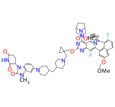 C#Cc1c(F)ccc2cc(OCOC)cc(-c3ncc4c(N5CC6CCC(C5)N6C(=O)OC(C)(C)C)nc(OCC5(CN6CCC(CC7CCN(c8ccc9c(c8)n(C)c(=O)n9C8CCC(=O)NC8=O)CC7)CC6)CC5)nc4c3F)c12